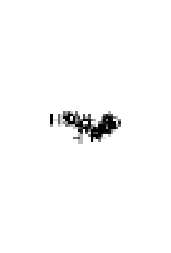 O=S1(=O)CCCN1c1cn2c(-c3cccc(NC4CCCNC4)n3)cnc2cn1